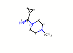 CN1CCN(C(=N)C2CC2)CC1